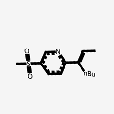 CC=C(CCCC)c1ccc(S(C)(=O)=O)cn1